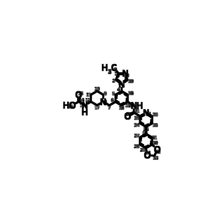 Cc1cn(-c2cc(CN3CCCC(NC(=O)O)C3)cc(NC(=O)c3cc(-c4ccc5c(c4)OCO5)ccn3)c2)cn1